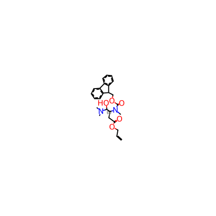 C=CCOC(=O)C[C@@H](C(O)N(C)C)N(C)C(=O)OCC1c2ccccc2-c2ccccc21